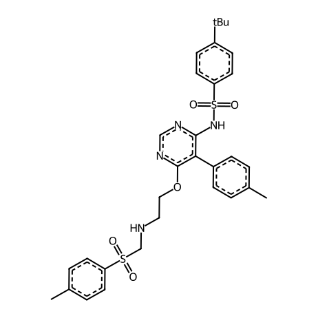 Cc1ccc(-c2c(NS(=O)(=O)c3ccc(C(C)(C)C)cc3)ncnc2OCCNCS(=O)(=O)c2ccc(C)cc2)cc1